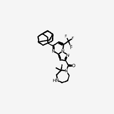 CC1(C)CNCCCN1C(=O)c1cc2nc(C34CC5CC(CC(C5)C3)C4)cc(C(F)(F)F)n2n1